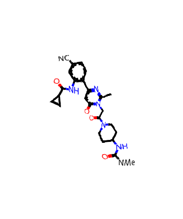 CNC(=O)NC1CCN(C(=O)Cn2c(C)nc(-c3ccc(C#N)cc3NC(=O)C3CC3)cc2=O)CC1